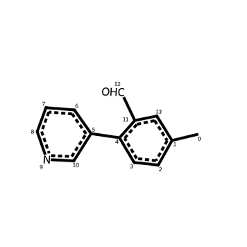 Cc1ccc(-c2cccnc2)c(C=O)c1